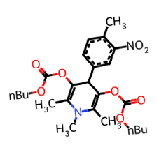 CCCCOC(=O)OC1=C(C)N(C)C(C)=C(OC(=O)OCCCC)C1c1ccc(C)c([N+](=O)[O-])c1